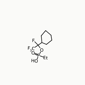 CCP(=O)(O)OC(F)(C1CCCCC1)C(F)(F)F